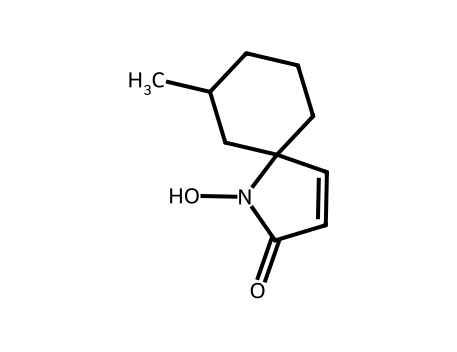 CC1CCCC2(C=CC(=O)N2O)C1